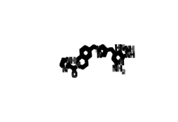 Nc1cc(Cc2cnn(Cc3ccc4c(c3)CCN(C(=O)c3ncc[nH]3)C4)c2)c2c(n1)NNN2